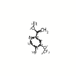 C=C(OCC)c1cc(OC(F)(F)F)c(F)cn1